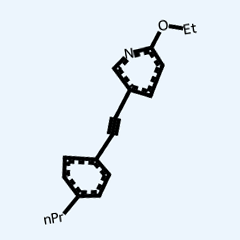 CCCc1ccc(C#Cc2ccc(OCC)nc2)cc1